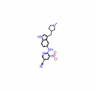 CN1CCC(Cc2c[nH]c3ccc(Nc4ncc(C#N)cc4[N+](=O)[O-])cc23)C1